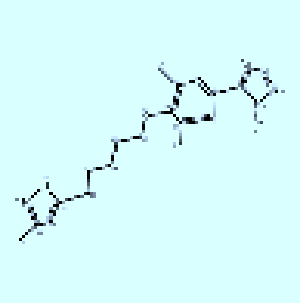 CCn1nnnc1-c1cc(C)c(OCCCCCc2cc(C)no2)c(C)c1